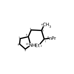 CCCC(CC)C(C)CC1CCCN1